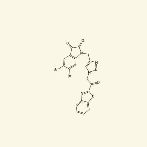 O=C(Cn1cc(CN2C(=O)C(=O)c3cc(Br)c(Br)cc32)nn1)c1nc2ccccc2s1